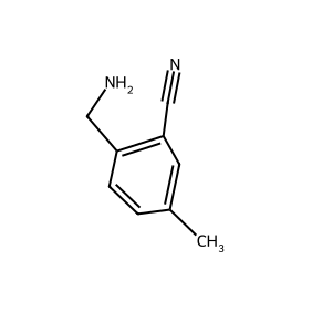 Cc1ccc(CN)c(C#N)c1